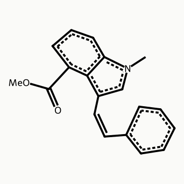 COC(=O)c1cccc2c1c(/C=C\c1ccccc1)cn2C